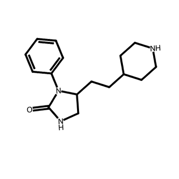 O=C1NCC(CCC2CCNCC2)N1c1ccccc1